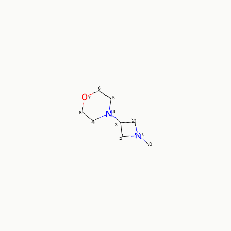 CN1CC(N2CCOCC2)C1